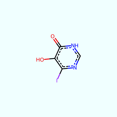 O=c1[nH]cnc(I)c1O